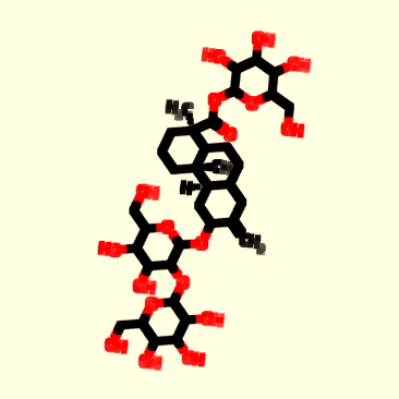 C=C1CC2CCC3[C@](C)(C(=O)OC4OC(CO)C(O)C(O)C4O)CCC[C@@]3(C)[C@@H]2CC1OC1OC(CO)C(O)C(O)C1OC1OC(CO)C(O)C(O)C1O